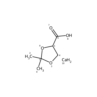 CC1(C)OCC(C(=O)O)O1.[CaH2]